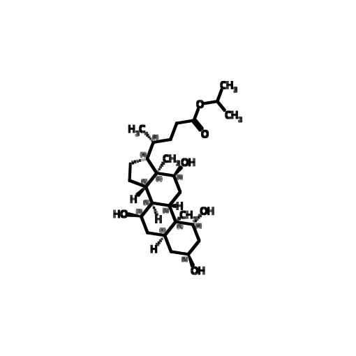 CC(C)OC(=O)CC[C@@H](C)[C@H]1CC[C@H]2[C@@H]3[C@H](O)C[C@@H]4C[C@H](O)C[C@@H](O)[C@]4(C)[C@H]3C[C@H](O)[C@]12C